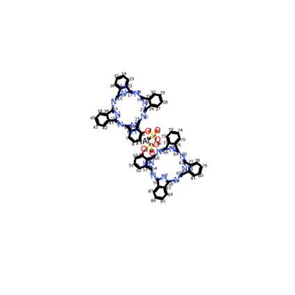 O=[S](=O)(Oc1cccc2c3nc4nc(nc5[nH]c(nc6nc(nc([nH]3)c12)-c1ccccc1-6)c1ccccc51)-c1ccccc1-4)[AlH][S](=O)(=O)Oc1cccc2c3nc4nc(nc5[nH]c(nc6nc(nc([nH]3)c12)-c1ccccc1-6)c1ccccc51)-c1ccccc1-4